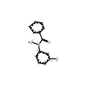 NN(C(=O)c1ccccc1)c1cccc(Cl)c1